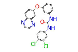 O=C(Nc1cccc(Oc2ccc3nccnc3c2)c1)Nc1ccc(Cl)c(Cl)c1